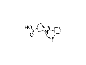 O=C(O)c1ccc2cc3n(c2c1)C=C1C=C1c1ccccc1-3